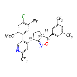 COc1cc(F)c(C(C)C)cc1-c1cnc(C(F)(F)F)cc1[C@@H]1CC[C@@H]2C1=NO[C@@H]2c1cc(C(F)(F)F)cc(C(F)(F)F)c1